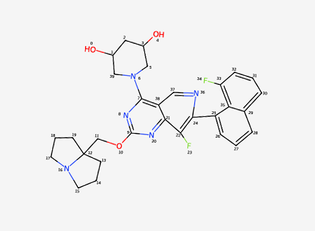 OC1CC(O)CN(c2nc(OCC34CCCN3CCC4)nc3c(F)c(-c4cccc5cccc(F)c45)ncc23)C1